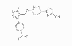 Cc1nnn(-c2ccc(C(F)F)cc2)c1COc1ccc(-n2ccc(C#N)n2)nn1